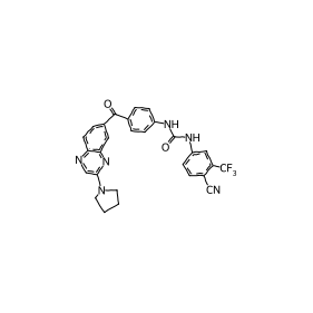 N#Cc1ccc(NC(=O)Nc2ccc(C(=O)c3ccc4ncc(N5CCCC5)nc4c3)cc2)cc1C(F)(F)F